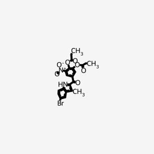 CCC(=O)Oc1cc(C(=O)c2[nH]c3ccc(Br)cc3c2C)cc([N+](=O)[O-])c1OC(=O)CC